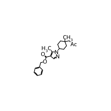 CC(=O)CC1(C)CCC(n2ncc(C(=O)OCc3ccccc3)c2C)CC1